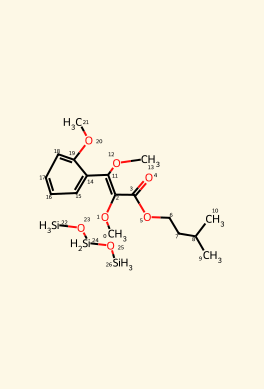 COC(C(=O)OCCC(C)C)=C(OC)c1ccccc1OC.[SiH3]O[SiH2]O[SiH3]